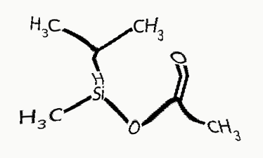 CC(=O)O[SiH](C)C(C)C